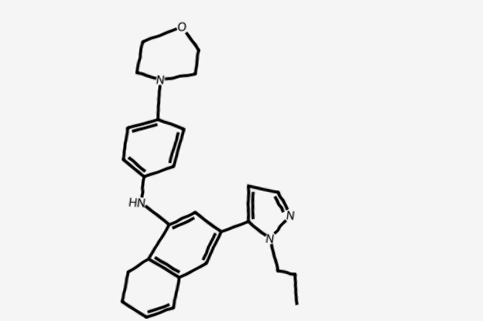 CCCn1nccc1-c1cc2c(c(Nc3ccc(N4CCOCC4)cc3)c1)CCC=C2